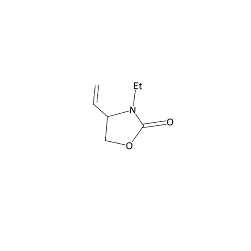 C=CC1COC(=O)N1CC